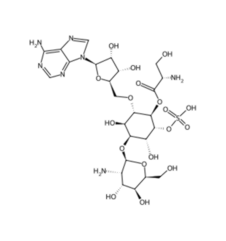 Nc1ncnc2c1ncn2[C@@H]1O[C@H](CO[C@H]2[C@H](O)[C@H](O[C@H]3O[C@@H](CO)[C@@H](O)[C@H](O)[C@@H]3N)[C@@H](O)[C@@H](OS(=O)(=O)O)[C@@H]2OC(=O)[C@@H](N)CO)[C@@H](O)[C@H]1O